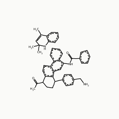 CC(=O)C1CCC(c2ccc(CN)cc2)c2c1ccc1c2cc(NC(=O)c2ccccc2)c2ccccc21.CC1=CC(C)(C)Nc2ccccc21